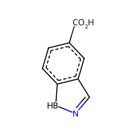 O=C(O)c1ccc2c(c1)C=NB2